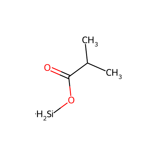 CC(C)C(=O)O[SiH2]